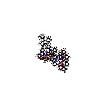 c1ccc(-c2cccc(-c3cccc(-c4cccc(-c5ccccc5)c4)c3N3c4cc5c(cc4B4c6ccccc6N(c6ccccc6-c6ccccc6)c6cc(N(c7ccccc7)c7ccccc7-c7ccccc7)cc3c64)B3c4ccccc4N(c4ccc(-c6c7ccccc7c(-c7ccccc7)c7ccccc67)cc4)c4cc(N(c6ccccc6-c6ccccc6)c6ccccc6-c6ccccc6)cc(c43)S5)c2)cc1